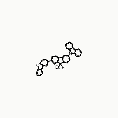 CCC1(CC)c2ccc(-n3c4ccccc4c4ccccc43)cc2-c2ccc(-c3ccc4oc5ccccc5c4c3)cc21